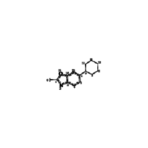 Ic1nc2ccc(C3CCCCC3)cc2o1